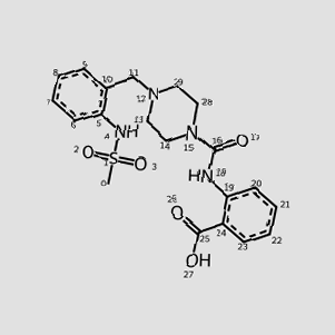 CS(=O)(=O)Nc1ccccc1CN1CCN(C(=O)Nc2ccccc2C(=O)O)CC1